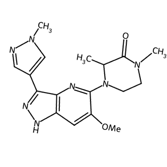 COc1cc2[nH]nc(-c3cnn(C)c3)c2nc1N1CCN(C)C(=O)C1C